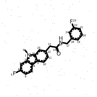 Cn1c2cc(F)ccc2c2ccc(CC(=O)NCc3cccc(F)c3)cc21